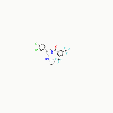 O=C(NC[C@H](CCNC1CCCC1)c1ccc(Cl)c(Cl)c1)c1cc(C(F)(F)F)cc(C(F)(F)F)c1